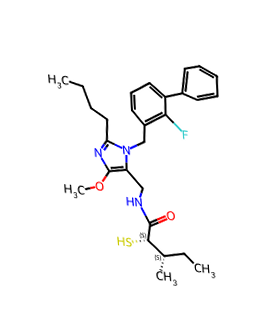 CCCCc1nc(OC)c(CNC(=O)[C@@H](S)[C@@H](C)CC)n1Cc1cccc(-c2ccccc2)c1F